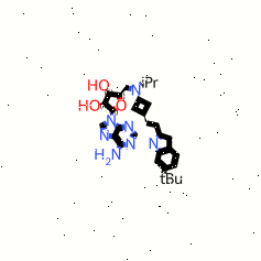 CC(C)N(C[C@H]1O[C@@H](n2cnc3c(N)ncnc32)[C@H](O)[C@@H]1O)[C@H]1C[C@@H](CCC2=Nc3cc(C(C)(C)C)ccc3C2)C1